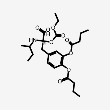 CCCC(=O)Oc1ccc(C[C@](NC(C)CC)(OC(=O)OCC)C(=O)O)cc1OC(=O)CCC